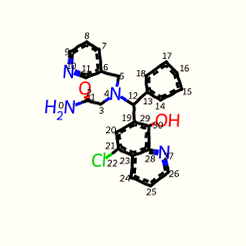 NC(=O)CN(Cc1cccnc1)C(c1ccccc1)c1cc(Cl)c2cccnc2c1O